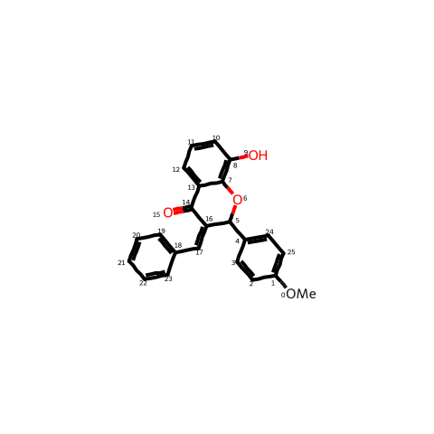 COc1ccc(C2Oc3c(O)cccc3C(=O)C2=Cc2ccccc2)cc1